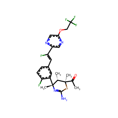 CC(=O)[C@@]1(C)SC(N)=N[C@](C)(c2cc(/C=C(\F)c3cnc(OCC(F)(F)F)cn3)ccc2F)[C@@H]1C